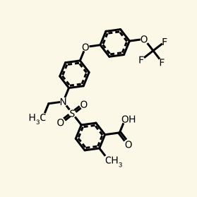 CCN(c1ccc(Oc2ccc(OC(F)(F)F)cc2)cc1)S(=O)(=O)c1ccc(C)c(C(=O)O)c1